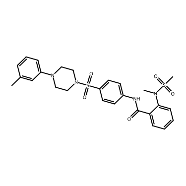 Cc1cccc(N2CCN(S(=O)(=O)c3ccc(NC(=O)c4ccccc4N(C)S(C)(=O)=O)cc3)CC2)c1